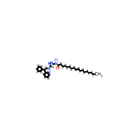 CCCCCCCCC=CCCCCCCCC(=O)Nc1nnc(NCC(c2ccccc2)c2ccccc2)s1